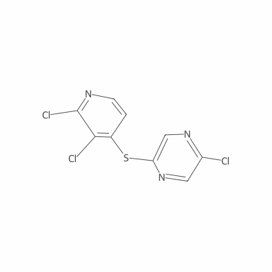 Clc1cnc(Sc2ccnc(Cl)c2Cl)cn1